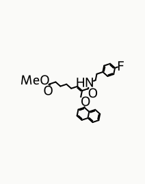 COC(=O)CCCC/C=C(\COc1cccc2ccccc12)C(=O)NCCc1ccc(F)cc1